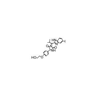 CC(C)[C@@H](c1nc2cc(I)ccc2[nH]1)N1C(=O)NC(c2ccc(OCCO)cc2)C1=O